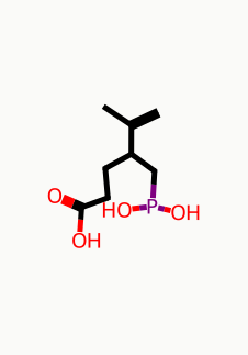 C=C(C)C(CCC(=O)O)CP(O)O